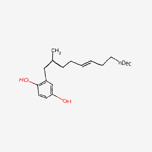 CCCCCCCCCCCCC=CCCC(C)Cc1cc(O)ccc1O